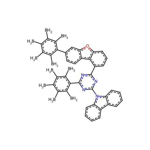 Bc1c(B)c(B)c(-c2ccc3c(c2)oc2cccc(-c4nc(-c5c(B)c(B)c(B)c(B)c5B)nc(-n5c6ccccc6c6ccccc65)n4)c23)c(B)c1B